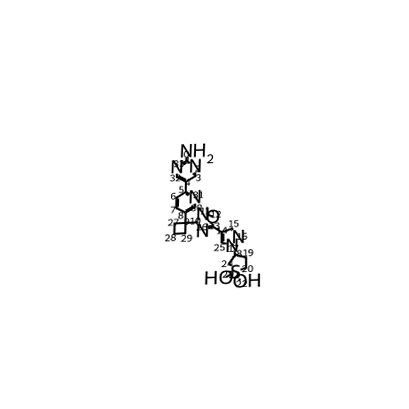 Nc1ncc(-c2ccc(C3(c4noc(-c5cnn(C6CCS(O)(O)C6)c5)n4)CCC3)cn2)cn1